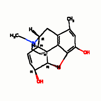 Cc1cc(O)c2c3c1C[C@@H]1[C@@H]4C=C[C@H](O)[C@H](O2)[C@]34CCN1C